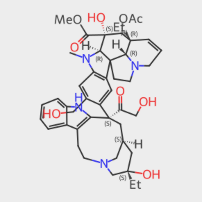 CC[C@]1(O)C[C@H]2CN(CCc3c([nH]c4ccccc34)[C@@](C(=O)CO)(c3cc4c(cc3CO)N(C)[C@@H]3C45CCN4CC=C[C@](CC)([C@H]45)[C@@H](OC(C)=O)[C@]3(O)C(=O)OC)C2)C1